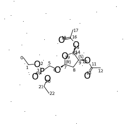 CCOP(=O)(CO[C@@H]1C[C@H](OC(C)=O)[C@H](OC(C)=O)O1)OCC